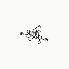 CC(C)C1CC(=O)N(CC(C)(CN2C(=O)CC(C(C)C)C2=O)CN2C(=O)CC(C(C)C)C2=O)C1=O